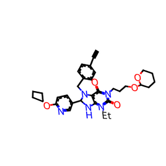 C#Cc1ccc(CN2c3c(n(CC)c(=O)n(CCCOC4CCCCO4)c3=O)NC2c2ccc(OC3CCC3)nc2)cc1